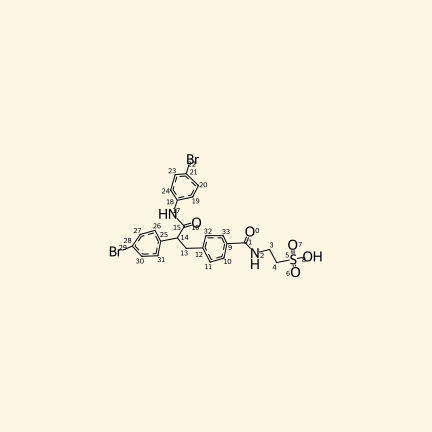 O=C(NCCS(=O)(=O)O)c1ccc(CC(C(=O)Nc2ccc(Br)cc2)c2ccc(Br)cc2)cc1